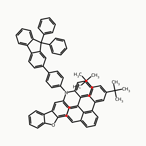 CC(C)(C)c1cc(-c2cccc3cccc(-c4ccccc4N(c4ccc(-c5ccc6c(c5)C(c5ccccc5)(c5ccccc5)c5ccccc5-6)cc4)c4ccc5oc6ccccc6c5c4)c23)cc(C(C)(C)C)c1